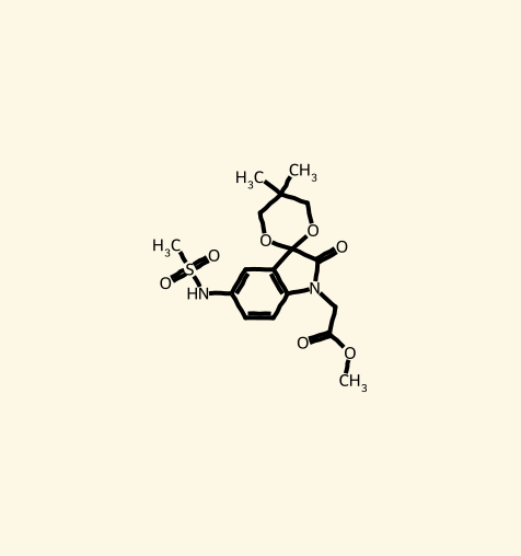 COC(=O)CN1C(=O)C2(OCC(C)(C)CO2)c2cc(NS(C)(=O)=O)ccc21